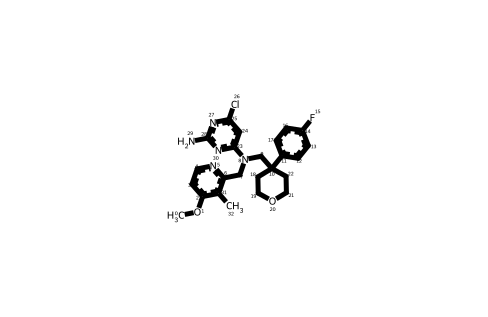 COc1ccnc(CN(CC2(c3ccc(F)cc3)CCOCC2)c2cc(Cl)nc(N)n2)c1C